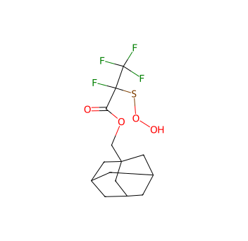 O=C(OCC12CC3CC(CC(C3)C1)C2)C(F)(SOO)C(F)(F)F